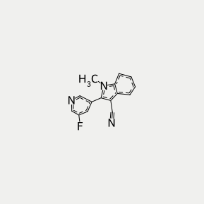 Cn1c(-c2cncc(F)c2)c(C#N)c2ccccc21